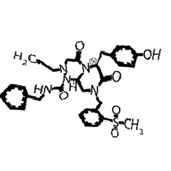 C=CCN1CC(=O)N2[C@@H](Cc3ccc(O)cc3)C(=O)N(Cc3ccccc3S(C)(=O)=O)C[C@@H]2N1C(=O)NCc1ccccc1